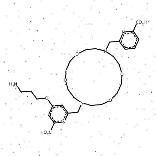 NCCCOc1cc(CN2CCOCCOCCN(Cc3cccc(C(=O)O)n3)CCOCCOCC2)nc(C(=O)O)c1